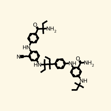 CCC(C)(C)Nc1ccc(Nc2ccc(C(C)(CC)C(C)(CC)Nc3ccc(Nc4ccc(C(=O)C(C)(N)CC)cc4)c(C#N)c3)cc2)c(C(N)=O)c1